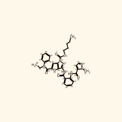 CCCCCOC(=O)n1nc(NC(=O)c2ccccc2NC(=O)c2ccnn2C)c2oc(C(=O)N(CC)c3ccccc3)cc21